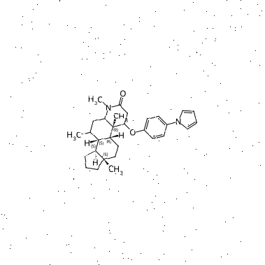 CC1CC2N(C)C(=O)CC(Oc3ccc(-n4cccc4)cc3)[C@]2(C)[C@@H]2CC[C@]3(C)CCC[C@H]3[C@H]12